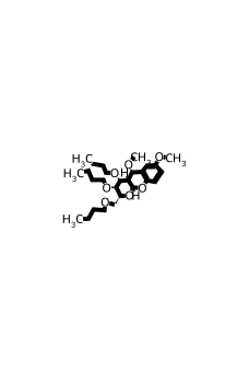 CCCCOC[C@H]1O[C@@H]2Oc3ccc(OC)cc3[C@@H](OC)[C@@H]2[C@@H](OCCCC)[C@H]1OCCCC